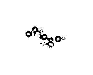 N#C[C@H]1CC[C@H](c2cc(-c3ccc(NC(=O)c4cccn(-c5ccccc5)c4=O)cc3)c3c(N)ncnn32)CC1